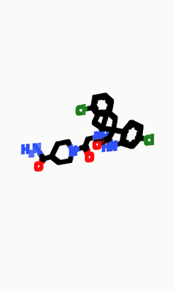 NC(=O)C1CCN(C(=O)CNC2(C3(Cc4cccc(Cl)c4)C(=O)Nc4cc(Cl)ccc43)CCC2)CC1